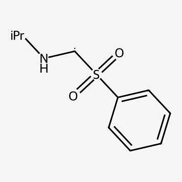 CC(C)N[CH]S(=O)(=O)c1ccccc1